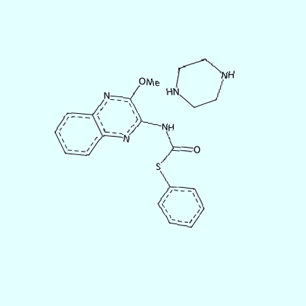 C1CNCCN1.COc1nc2ccccc2nc1NC(=O)Sc1ccccc1